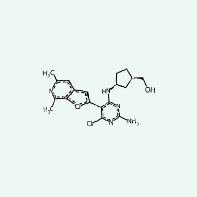 Cc1cc2cc(-c3c(Cl)nc(N)nc3N[C@H]3CC[C@@H](CO)C3)oc2c(C)n1